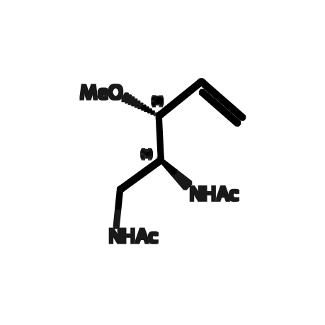 C=C[C@@H](OC)[C@H](CNC(C)=O)NC(C)=O